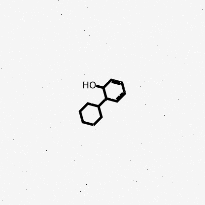 OC1C=CC=C[C]1C1CCCCC1